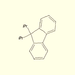 CC(C)C1(C(C)C)c2ccccc2-c2ccccc21